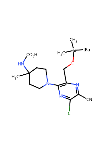 CC1(NC(=O)O)CCN(c2nc(Cl)c(C#N)nc2CO[Si](C)(C)C(C)(C)C)CC1